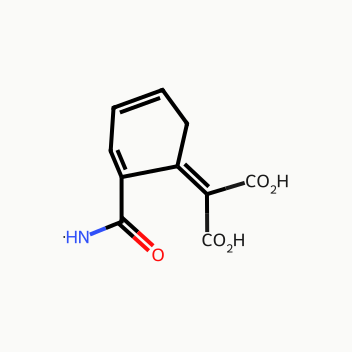 [NH]C(=O)C1=CC=CCC1=C(C(=O)O)C(=O)O